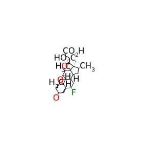 C[C@@H]1C[C@H]2[C@@H]3C[C@H](F)C4=CC(=O)C=C[C@]4(C)[C@@]34O[C@H]4C[C@]2(C)[C@@]1(CC(=O)O)C(=O)CCC(=O)O